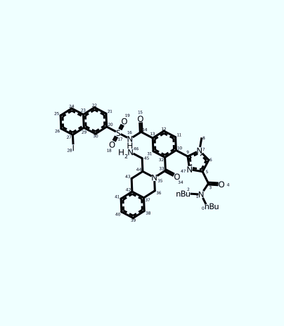 CCCCN(CCCC)C(=O)c1cn(C)c(-c2ccc(C(=O)NS(=O)(=O)c3ccc4cccc(I)c4c3)cc2C(=O)N2Cc3ccccc3CC2CN)n1